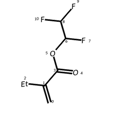 C=C(CC)C(=O)OC(F)C(F)F